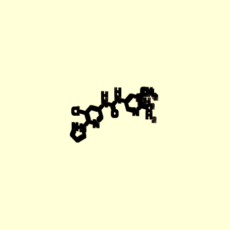 C=C(N)/C=C(\C=N/C(=C)SC)NC(=O)Nc1cnc(-n2cccn2)c(Cl)c1